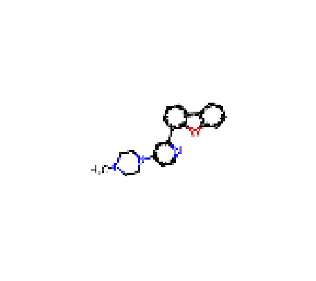 CN1CCN(c2ccnc(-c3cccc4c3oc3ccccc34)c2)CC1